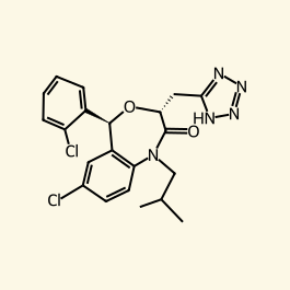 CC(C)CN1C(=O)[C@@H](Cc2nnn[nH]2)O[C@H](c2ccccc2Cl)c2cc(Cl)ccc21